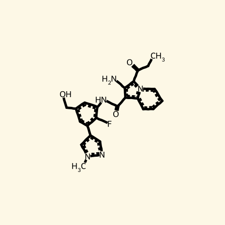 CCC(=O)c1c(N)c(C(=O)Nc2cc(CO)cc(-c3cnn(C)c3)c2F)c2ccccn12